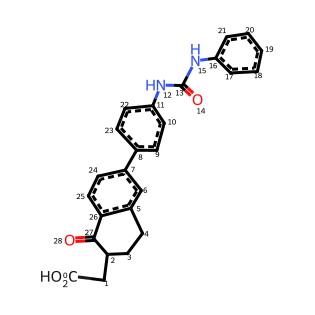 O=C(O)CC1CCc2cc(-c3ccc(NC(=O)Nc4ccccc4)cc3)ccc2C1=O